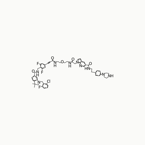 CC1(C)CN(Cc2c(F)cccc2Cl)c2cc(C(=O)NCc3c(F)cc(C#CC(=O)NCCOCCNC(=O)Cn4ccc5cc(C(=O)NCCc6ccc(N7CCNCC7)cc6)cnc54)cc3F)ccc21